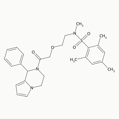 Cc1cc(C)c(S(=O)(=O)N(C)CCOCC(=O)N2CCn3cccc3C2c2ccccc2)c(C)c1